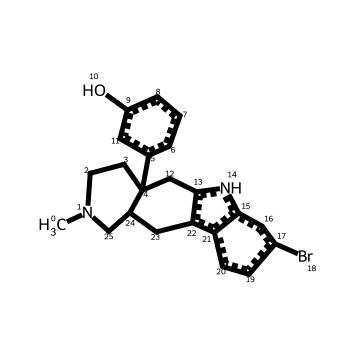 CN1CCC2(c3cccc(O)c3)Cc3[nH]c4cc(Br)ccc4c3CC2C1